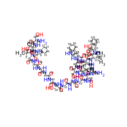 CC(C)C[C@H](NC(=O)[C@H](Cc1ccccc1)NC(=O)[C@@H](NC(=O)[C@@H](N)CO)[C@@H](C)O)C(=O)NCC(=O)NCC(=O)NCC(=O)NCC(=O)N[C@@H](CO)C(=O)NCC(=O)NCC(=O)NCC(=O)N[C@@H](CO)C(=O)N[C@H](C(=O)N[C@@H](CO)C(=O)NCC(=O)N[C@@H](Cc1c[nH]c2ccccc12)C(=O)N[C@@H](CCCNC(=N)N)C(=O)N[C@@H](CC(C)C)C(=O)N[C@@H](Cc1ccccc1)C(=O)O)C(C)C